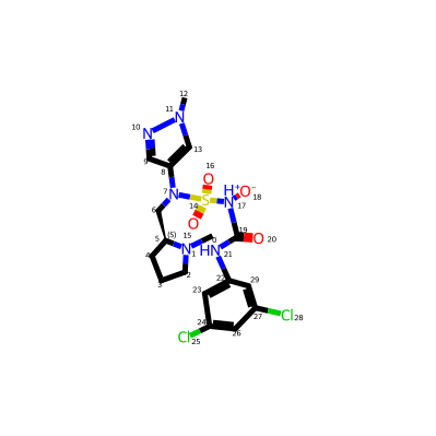 CN1CCC[C@H]1CN(c1cnn(C)c1)S(=O)(=O)[NH+]([O-])C(=O)Nc1cc(Cl)cc(Cl)c1